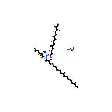 CCCCCCCCCCCCCCOCC(CN(N)C(=O)C(N)CCCC)OCCCCCCCCCCCCCC.Cl.Cl